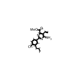 C=Cc1c(N)nc(-c2ccc(Cl)c(CCF)c2)nc1C(=O)OC